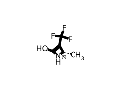 C[C@@H]1NC(O)=C1C(F)(F)F